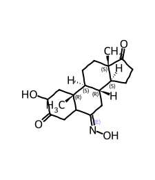 C[C@]12CC(O)C(=O)CC1/C(=N/O)C[C@@H]1[C@@H]2CC[C@]2(C)C(=O)CC[C@@H]12